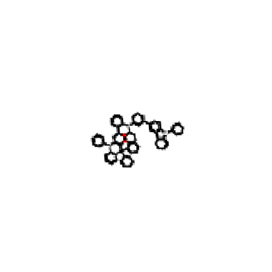 c1ccc(N(c2cccc(-c3ccc4c(c3)c3ccccc3n4-c3ccccc3)c2)c2ccccc2-c2ccc3c(c2)N(c2ccccc2)c2ccccc2C3(c2ccccc2)c2ccccc2)cc1